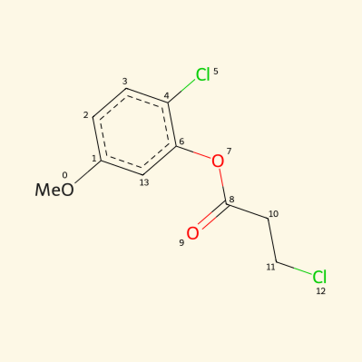 COc1ccc(Cl)c(OC(=O)CCCl)c1